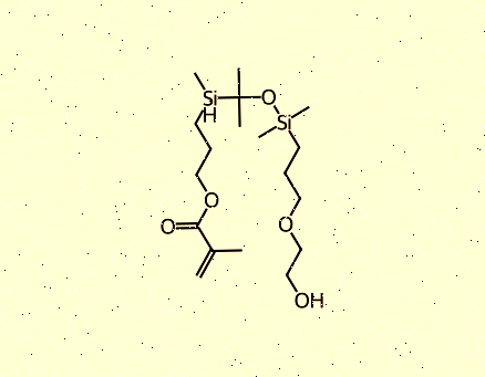 C=C(C)C(=O)OCCC[SiH](C)C(C)(C)O[Si](C)(C)CCCOCCO